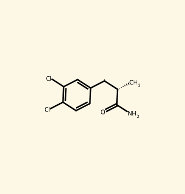 C[C@@H]([CH]c1ccc(Cl)c(Cl)c1)C(N)=O